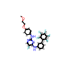 COCCOC1=CC=C(Nc2ncc(F)c(Nc3cccc(-c4c(F)c(F)c(F)c(F)c4F)c3)n2)CC1